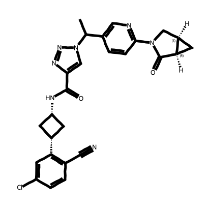 CC(c1ccc(N2C[C@H]3C[C@H]3C2=O)nc1)n1cc(C(=O)N[C@H]2C[C@@H](c3cc(Cl)ccc3C#N)C2)nn1